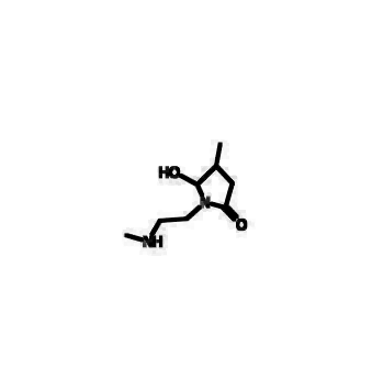 CNCCN1C(=O)CC(C)C1O